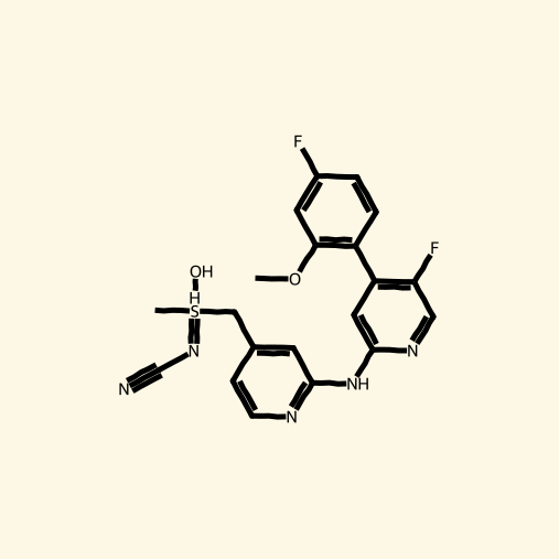 COc1cc(F)ccc1-c1cc(Nc2cc(C[SH](C)(O)=NC#N)ccn2)ncc1F